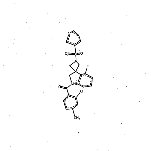 Cc1ccc(C(=O)NCC2(c3ncccc3F)CN(S(=O)(=O)c3cccnc3)C2)c(Cl)c1